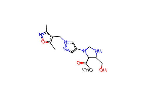 Cc1noc(C)c1Cn1cc(N2CNC(CO)C2C(=O)C=O)cn1